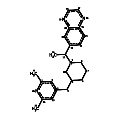 Cc1cc(CC2CCCN(C(C)c3ccc4nccnc4c3)C2)cc(C)n1